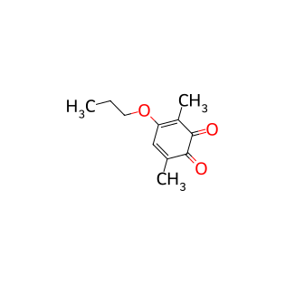 CCCOC1=C(C)C(=O)C(=O)C(C)=C1